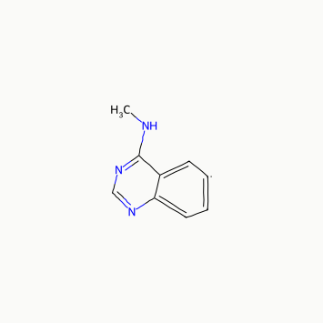 CNc1ncnc2cc[c]cc12